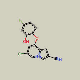 N#Cc1cc2c(Oc3ccc(F)cc3O)cc(Cl)cn2c1